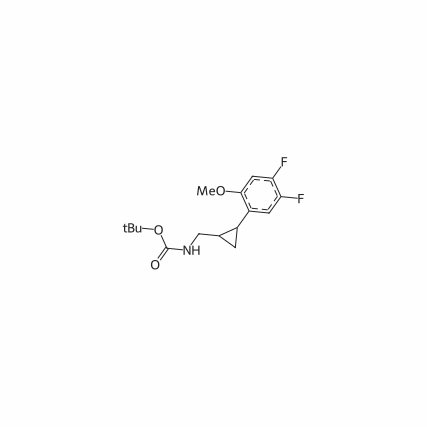 COc1cc(F)c(F)cc1C1CC1CNC(=O)OC(C)(C)C